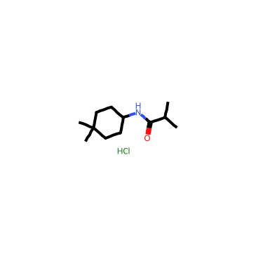 CC(C)C(=O)NC1CCC(C)(C)CC1.Cl